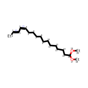 CC/C=C/C=C\CCCCCCCCCCCC(OCC)OCC